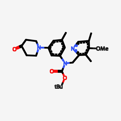 COc1c(C)cnc(CN(C(=O)OC(C)(C)C)c2cc(C)cc(N3CCC(=O)CC3)c2)c1C